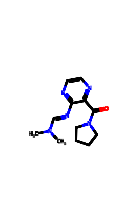 CN(C)/C=N/c1nccnc1C(=O)N1CCCC1